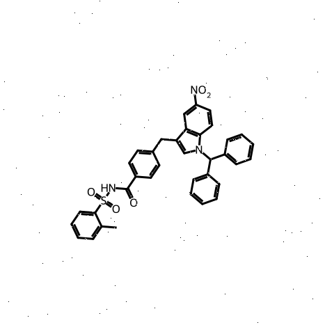 Cc1ccccc1S(=O)(=O)NC(=O)c1ccc(Cc2cn(C(c3ccccc3)c3ccccc3)c3ccc([N+](=O)[O-])cc23)cc1